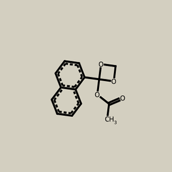 CC(=O)OC1(c2cccc3ccccc23)OCO1